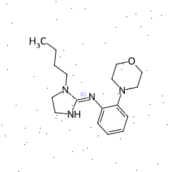 CCCCN1CCN/C1=N\c1ccccc1N1CCOCC1